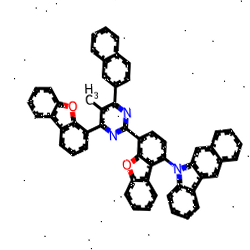 Cc1c(-c2ccc3ccccc3c2)nc(-c2ccc(-n3c4ccccc4c4cc5ccccc5cc43)c3c2oc2ccccc23)nc1-c1cccc2c1oc1ccccc12